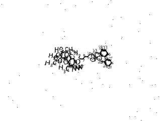 CCC1C[C@H](OCCCCCN(Cc2ccccc2)C(=O)OCc2ccccc2)C(N=[N+]=[N-])[C@@H](C)[C@@H]1O[C@@H]1OC(C)[C@@H](O)[C@H](C)C1OC(C)=O